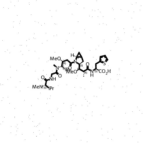 CC[C@H](C)[C@@H]([C@@H](CC(=O)N1[C@H]2CC2C[C@H]1[C@H](OC)[C@@H](C)C(=O)N[C@@H](Cc1cccs1)C(=O)O)OC)N(C)C(=O)CNC(=O)[C@@H](NC)C(C)C